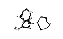 O=C(O)c1nn(C2CCCCO2)c2ncccc12